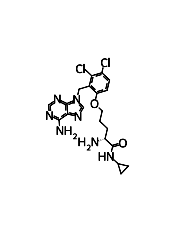 Nc1ncnc2c1ncn2Cc1c(OCCC[C@@H](N)C(=O)NC2CC2)ccc(Cl)c1Cl